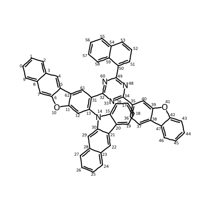 c1ccc2cc3c(cc2c1)oc1cc(-n2c4ccccc4c4cc5ccccc5cc42)c(-c2nc(-c4ccc5c(c4)oc4ccccc45)nc(-c4cccc5ccccc45)n2)cc13